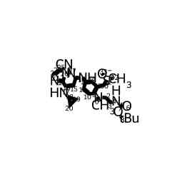 CN(CCNC(=O)OC(C)(C)C)c1ccc(Nc2cc(NC3CC3)c3ncc(C#N)n3n2)cc1C[S+](C)[O-]